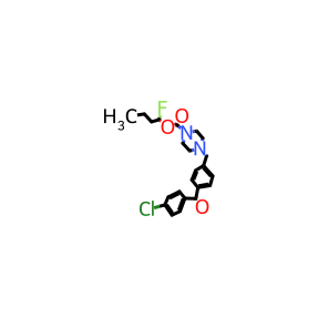 CCCC(F)OC(=O)N1CCN(Cc2ccc(C(=O)c3ccc(Cl)cc3)cc2)CC1